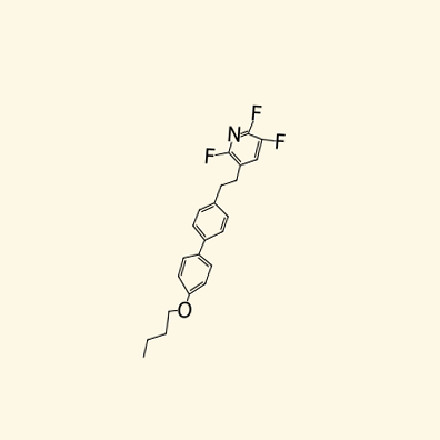 CCCCOc1ccc(-c2ccc(CCc3cc(F)c(F)nc3F)cc2)cc1